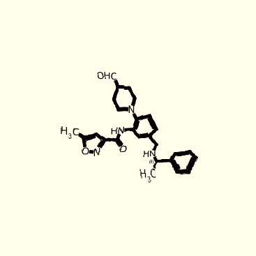 Cc1cc(C(=O)Nc2cc(CN[C@H](C)c3ccccc3)ccc2N2CCC(C=O)CC2)no1